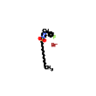 CCCCCCCCCCCCCCS(=O)(=O)N1CC[N+](C)(Cc2ccc(F)cc2)CC1.[Br-]